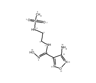 CS(=O)(=O)NCCNC(=NO)c1nonc1N